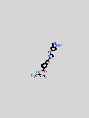 CC(C)NC(=O)c1ccc2cc(-c3nccc(Nc4ccc5[nH]ncc5c4)n3)oc2c1